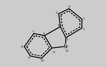 [c]1ccc2c(c1)-c1ccccc1[N]2